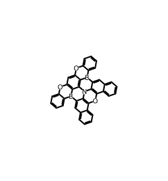 c1ccc2c(c1)Oc1cc3c4c5c1B2c1cc2ccccc2c2c1N5c1c(cc5ccccc5c1O2)B4c1ccccc1O3